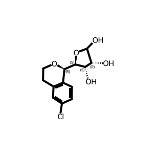 OC1O[C@H]([C@@H]2OCCc3cc(Cl)ccc32)[C@@H](O)[C@H]1O